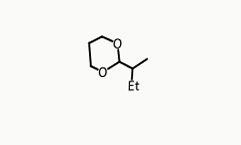 CCC(C)C1OCCCO1